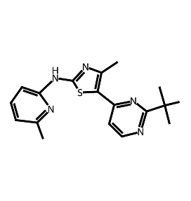 Cc1cccc(Nc2nc(C)c(-c3ccnc(C(C)(C)C)n3)s2)n1